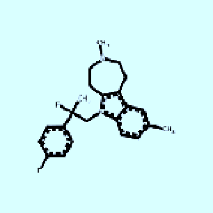 Cc1ccc2c(c1)c1c(n2CC(C)(F)c2ccc(F)cc2)CCN(C)CC1